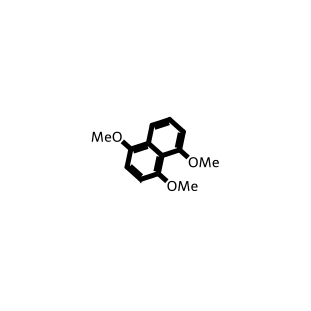 COc1c[c]c(OC)c2c(OC)cccc12